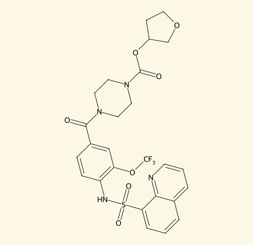 O=C(OC1CCOC1)N1CCN(C(=O)c2ccc(NS(=O)(=O)c3cccc4cccnc34)c(OC(F)(F)F)c2)CC1